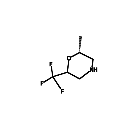 C[C@@H]1CNCC(C(F)(F)F)O1